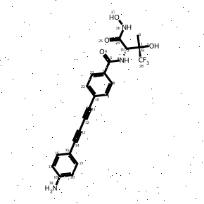 C[C@](O)([C@H](NC(=O)c1ccc(C#CC#Cc2ccc(N)cc2)cc1)C(=O)NO)C(F)(F)F